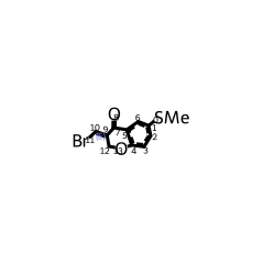 CSc1ccc2c(c1)C(=O)/C(=C/Br)CO2